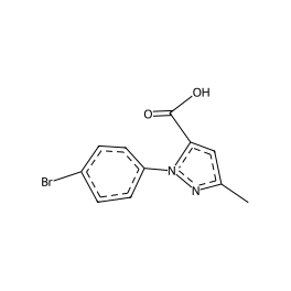 Cc1cc(C(=O)O)n(-c2ccc(Br)cc2)n1